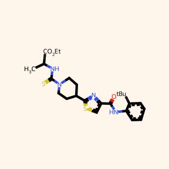 CCOC(=O)C(C)NC(=S)N1CCC(c2nc(C(=O)Nc3ccccc3C(C)(C)C)cs2)CC1